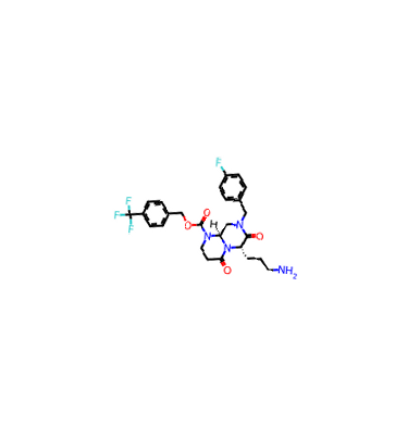 NCCC[C@H]1C(=O)N(Cc2ccc(F)cc2)C[C@@H]2N(C(=O)OCc3ccc(C(F)(F)F)cc3)CCC(=O)N21